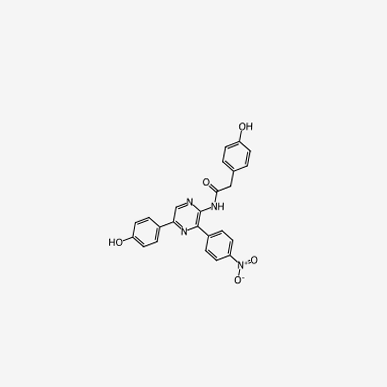 O=C(Cc1ccc(O)cc1)Nc1ncc(-c2ccc(O)cc2)nc1-c1ccc([N+](=O)[O-])cc1